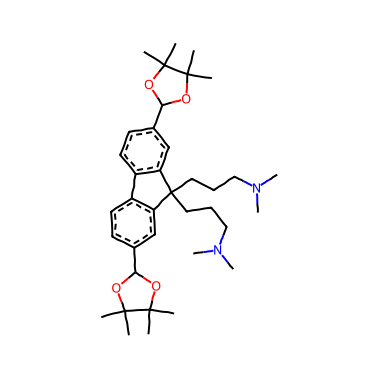 CN(C)CCCC1(CCCN(C)C)c2cc(C3OC(C)(C)C(C)(C)O3)ccc2-c2ccc(C3OC(C)(C)C(C)(C)O3)cc21